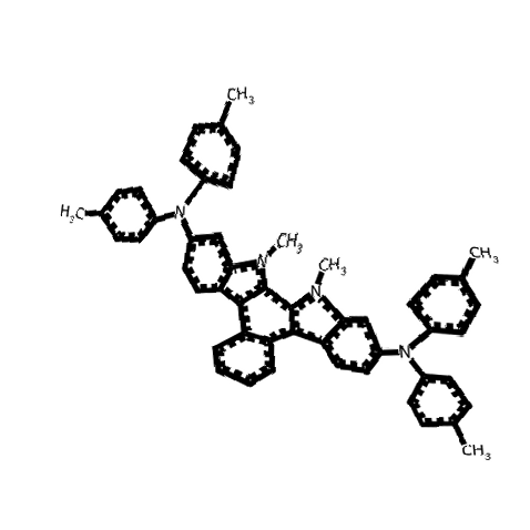 Cc1ccc(N(c2ccc(C)cc2)c2ccc3c4c5ccccc5c5c6ccc(N(c7ccc(C)cc7)c7ccc(C)cc7)cc6n(C)c5c4n(C)c3c2)cc1